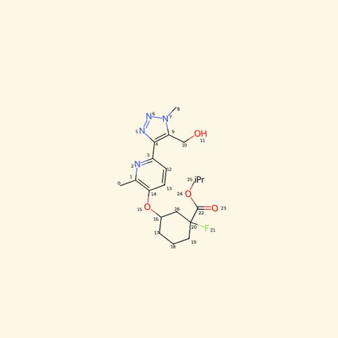 Cc1nc(-c2nnn(C)c2CO)ccc1OC1CCCC(F)(C(=O)OC(C)C)C1